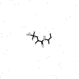 CCC(C)NC(=O)C(C)CC(C)(C)O